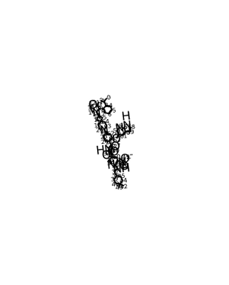 CC(C)c1ccccc1[C@@H]1C(C)OCCN1C1CC2(CCN(c3ccc(C(=O)NS(=O)(=O)c4cnc(NCC5CCC(C)(C)CC5)c([N+](=O)[O-])c4)c(Oc4cnc5[nH]ccc5c4)c3)CC2)C1